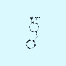 CCCCCCCN1CCN(Cc2ccccc2)CC1